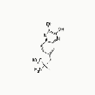 CC(N)(Cc1ccc2nc(O)c(O)nc2c1)C(=O)O